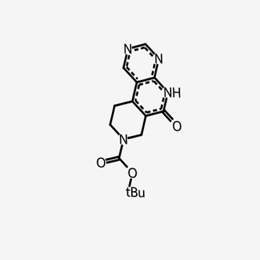 CC(C)(C)OC(=O)N1CCc2c(c(=O)[nH]c3ncncc23)C1